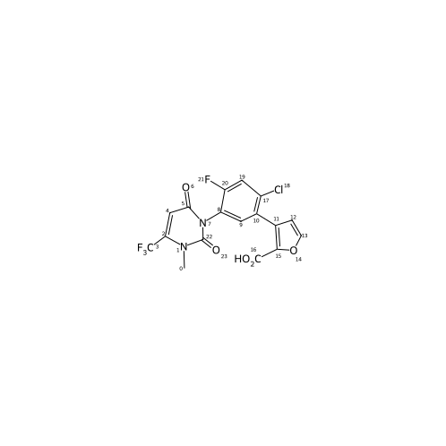 Cn1c(C(F)(F)F)cc(=O)n(-c2cc(-c3ccoc3C(=O)O)c(Cl)cc2F)c1=O